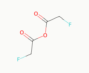 O=C(CF)OC(=O)CF